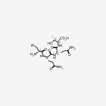 CC(C)C[C@H](N)C(=O)N[C@@H](CCC(N)=O)C(=O)N[C@@H](CCC(N)=O)C(=O)N[C@H](C(=O)O)[C@@H](C)O